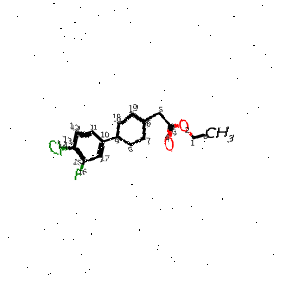 CCOC(=O)CC1CCC(c2ccc(Cl)c(F)c2)CC1